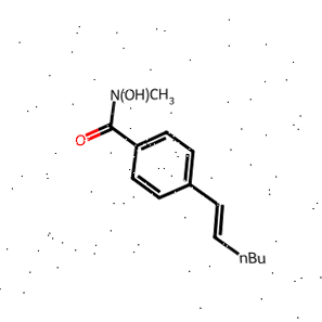 CCCC/C=C/c1ccc(C(=O)N(C)O)cc1